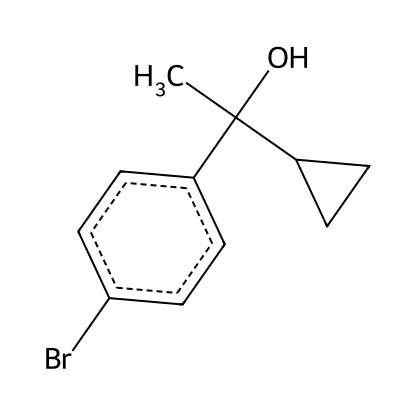 CC(O)(c1ccc(Br)cc1)C1CC1